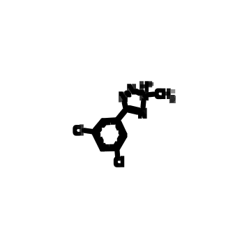 [CH2-][NH+]1N=NC(c2cc(Cl)cc(Cl)c2)=N1